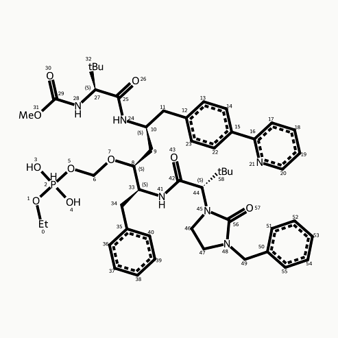 CCO[PH](O)(O)OCO[C@@H](C[C@H](Cc1ccc(-c2ccccn2)cc1)NC(=O)[C@@H](NC(=O)OC)C(C)(C)C)[C@H](Cc1ccccc1)NC(=O)[C@@H](N1CCN(Cc2ccccc2)C1=O)C(C)(C)C